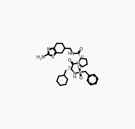 Nc1nc2c(s1)CC(CNC(=O)[C@@H]1CCCN1C(=O)[C@@H](CC1CCCCC1)NS(=O)(=O)Cc1ccccc1)CC2